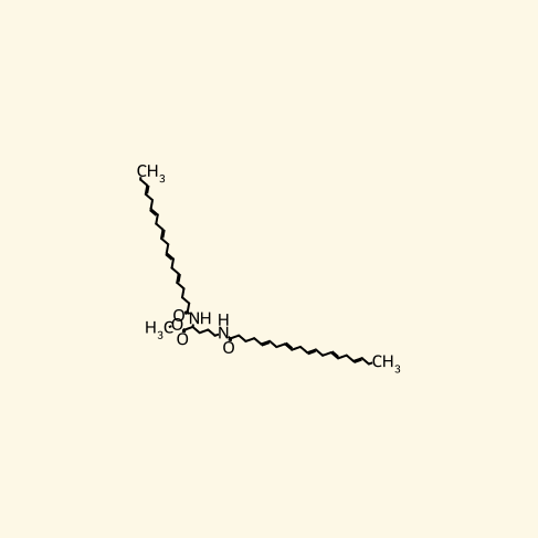 CCC=CCC=CCC=CCC=CCC=CCCCC(=O)NCCCC(NC(=O)CCCC=CCC=CCC=CCC=CCC=CCC)C(=O)OC